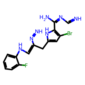 N=C/N=C(/N)c1[nH]c(C/C(=C/Nc2ccccc2F)N=N)cc1Br